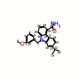 COc1cccc(Cn2c3cc(C(C)C)c[c]c3c3c(C(N)=O)cccc32)c1